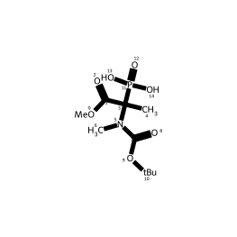 COC(=O)C(C)(N(C)C(=O)OC(C)(C)C)P(=O)(O)O